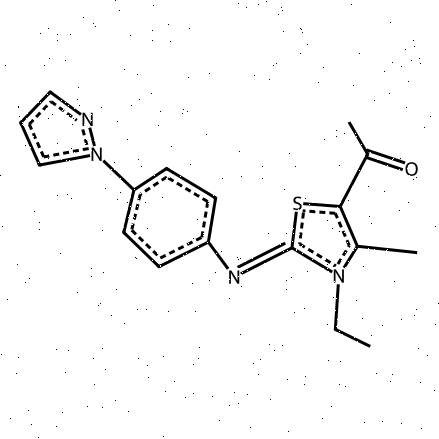 CCn1c(C)c(C(C)=O)s/c1=N\c1ccc(-n2cccn2)cc1